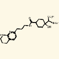 CC(=O)NC(C(=O)O)C1(O)CCC(C(=O)NCCCc2ccc3c(n2)NCCC3)CC1